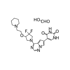 O=CO.O=c1[nH]cc(-c2cc3c(N4CC(OCCN5CCCCC5)C(F)(F)C4)ncnn3c2)c(=O)[nH]1